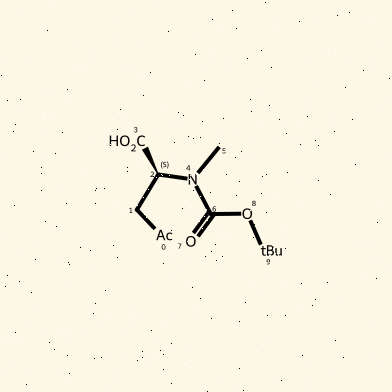 CC(=O)C[C@@H](C(=O)O)N(C)C(=O)OC(C)(C)C